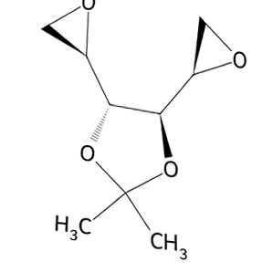 CC1(C)O[C@H]([C@H]2CO2)[C@@H]([C@H]2CO2)O1